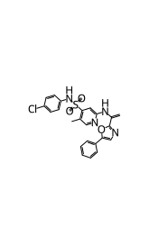 C=C(Nc1cc(S(=O)(=O)Nc2ccc(Cl)cc2)c(C)cn1)c1ncc(-c2ccccc2)o1